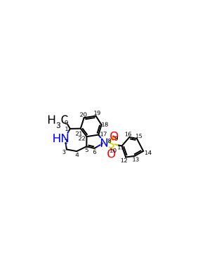 CC1NCCc2cn(S(=O)(=O)c3ccccc3)c3cccc1c23